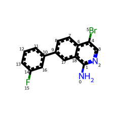 Nc1ncc(Br)c2ccc(-c3cccc(F)c3)cc12